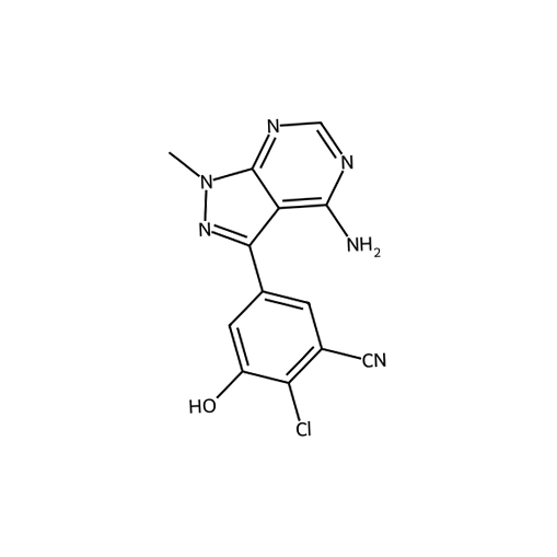 Cn1nc(-c2cc(O)c(Cl)c(C#N)c2)c2c(N)ncnc21